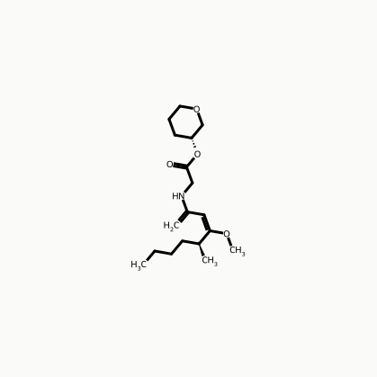 C=C(/C=C(/OC)[C@@H](C)CCCC)NCC(=O)O[C@@H]1CCCOC1